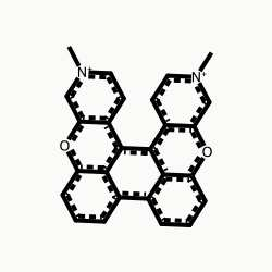 C[n+]1ccc2c(c1)oc1cccc3c4cccc5oc6c[n+](C)ccc6c(c54)c2c13